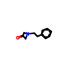 O=C1CN(CCc2ccccc2)C1